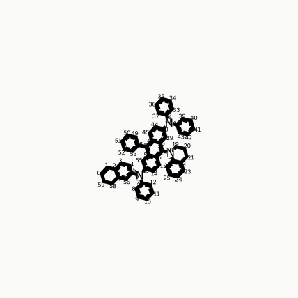 C1=Cc2ccc(N(c3ccccc3)c3ccc4c(N5CCCc6ccccc65)c5cc(N(c6ccccc6)c6ccccc6)ccc5c(-c5ccccc5)c4c3)cc2CC1